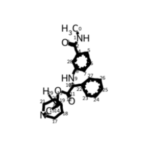 CNC(=O)c1cccc(N[C@@H](C(=O)O[C@H]2CN3CCC2CC3)c2ccccc2)c1